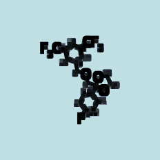 Fc1ccc(C2(COCc3cc(C(F)(F)F)cc(C(F)(F)F)c3)OCCO2)cc1